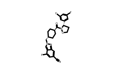 N#Cc1cc(F)c2cn(C[C@H]3CC[C@H](C(=O)N4OCC[C@H]4c4cc(F)cc(F)c4)CC3)nc2c1